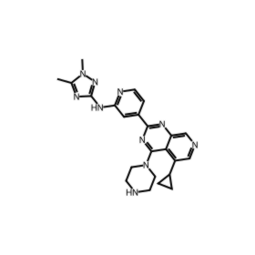 Cc1nc(Nc2cc(-c3nc(N4CCNCC4)c4c(C5CC5)cncc4n3)ccn2)nn1C